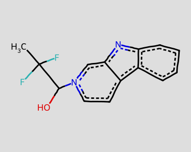 CC(F)(F)C(O)n1ccc2c3ccccc3nc-2c1